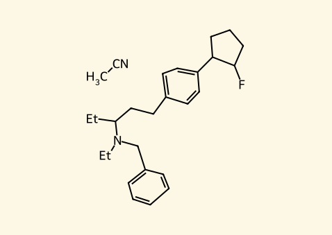 CC#N.CCC(CCc1ccc(C2CCCC2F)cc1)N(CC)Cc1ccccc1